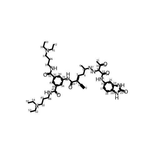 C#C/C(=C\CC(C)/N=N/C(C(C)=O)C(=O)Nc1ccc2[nH]c(=O)[nH]c2c1)C(=O)Nc1cc(C(=O)NCCCN(CC)CC)cc(C(=O)NCCCN(CC)CC)c1